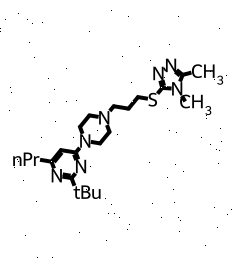 CCCc1cc(N2CCN(CCCSc3nnc(C)n3C)CC2)nc(C(C)(C)C)n1